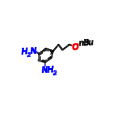 CCCCOCCCc1cc(N)cc(N)c1